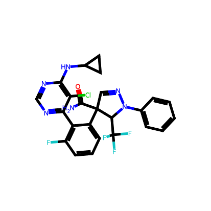 NC(=O)C1(c2cccc(F)c2-c2ncnc(NC3CC3)c2Cl)C=NN(c2ccccc2)C1C(F)(F)F